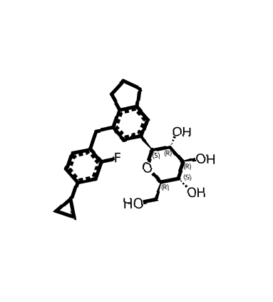 OC[C@H]1O[C@@H](c2cc3c(c(Cc4ccc(C5CC5)cc4F)c2)CCC3)[C@H](O)[C@@H](O)[C@@H]1O